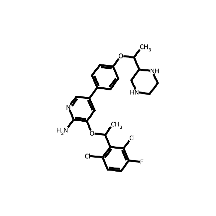 CC(Oc1cc(-c2ccc(OC(C)C3CNCCN3)cc2)cnc1N)c1c(Cl)ccc(F)c1Cl